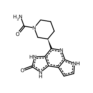 NC(=O)N1CCC[C@@H](c2nc3[nH]ccc3c3[nH]c(=O)[nH]c23)C1